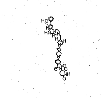 O=C1CCC(N2C(=O)c3ccc(N4CCC5(CC4)CC(N4C[C@@H]6C(CN7CCN8c9cc(-c%10ccccc%10O)nnc9NC[C@H]8C7)[C@@H]6C4)C5)cc3C2=O)C(=O)N1